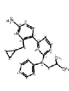 CC(C)CN(c1ccncc1)c1nccc(-c2cnc(N)nc2CC2CC2)n1